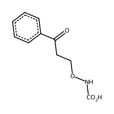 O=C(O)NOCCC(=O)c1ccccc1